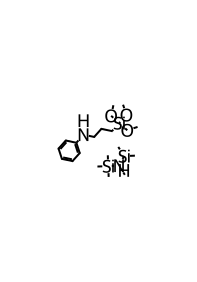 CN([SiH](C)C)[Si](C)(C)C.CO[Si](CCCNc1ccccc1)(OC)OC